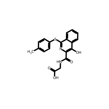 Cc1ccc(Sc2nc(C(=O)NCC(=O)O)c(O)c3ccccc23)cc1